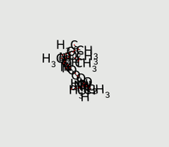 Cc1cc(C)cc(COc2cc3c(cc2OCc2cc(C)cc(C)c2)[C@H]2C[C@](O)(Cc4cn(CCOCCOCCOCCNC(=O)[C@@H](CC(C)C)NC(=O)[C@@H](O)[C@H](N)Cc5ccccc5)nn4)C[C@H](C)N2CC3)c1